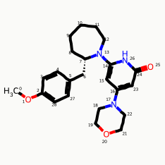 COc1ccc(C[C@@H]2CCCCCN2c2cc(N3CCOCC3)cc(=O)[nH]2)cc1